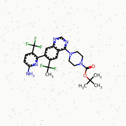 CC(C)(C)OC(=O)N1CCN(c2ncnc3cc(-c4nc(N)ccc4C(F)(F)F)c(C(C)(F)F)cc23)CC1